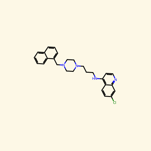 Clc1ccc2c(NCCCN3CCN(Cc4cccc5ccccc45)CC3)ccnc2c1